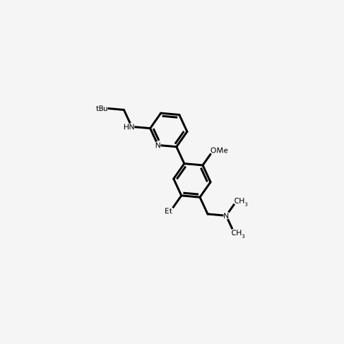 CCc1cc(-c2cccc(NCC(C)(C)C)n2)c(OC)cc1CN(C)C